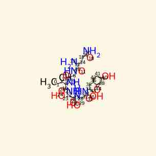 CC[C@H](C)[C@H](NC(=O)CNC(=O)[C@@H](N)CCC(N)=O)C(=O)N[C@@H](CO)C(=O)N[C@@H](CO)C(=O)N[C@@H](Cc1ccc(O)cc1)C(=O)O